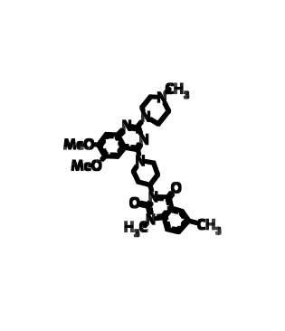 COc1cc2nc(N3CCN(C)CC3)nc(N3CCC(n4c(=O)c5cc(C)ccc5n(C)c4=O)CC3)c2cc1OC